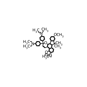 CCN(CC)c1ccc(C2(c3ccc(N(CC)CC)cc3)C=Cc3c(c4c(c5ccc(OC)c(OC)c35)C(C)(C)c3cc(OC)ccc3-4)O2)cc1